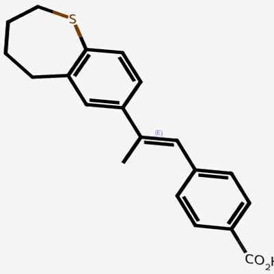 C/C(=C\c1ccc(C(=O)O)cc1)c1ccc2c(c1)CCCCS2